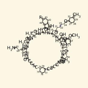 COc1ccc(C[C@@H]2NC(=O)[C@H]([C@@H](C)O)NC(=O)[C@H](CCC/C=C/COc3cccc(C)c3)NC(=O)[C@H](Cc3c[nH]c4ccc(F)cc34)NC(=O)[C@H](C)NC(=O)[C@@H](C)NC(=O)[C@H](CCCCN)NC(=O)CCSCc3cccc(c3)CSCCNC(=O)[C@]3(C)CCCN3C2=O)cc1